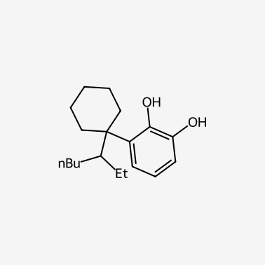 CCCCC(CC)C1(c2cccc(O)c2O)CCCCC1